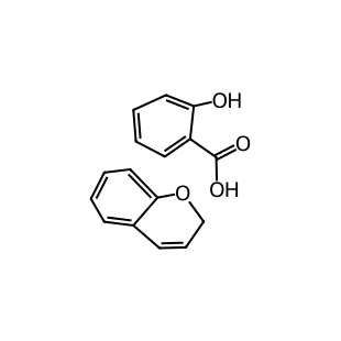 C1=Cc2ccccc2OC1.O=C(O)c1ccccc1O